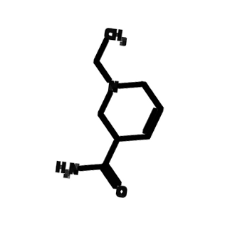 CCN1CC=CC(C(N)=O)C1